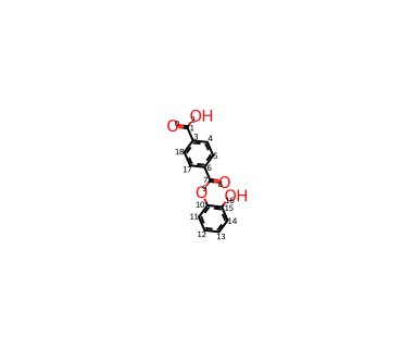 O=C(O)c1ccc(C(=O)Oc2ccccc2O)cc1